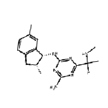 CNC(C)(F)c1nc(N)nc(N[C@H]2c3cc(C)ccc3C[C@H]2C)n1